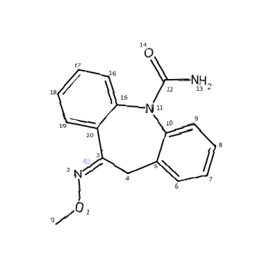 CO/N=C1\Cc2ccccc2N(C(N)=O)c2ccccc21